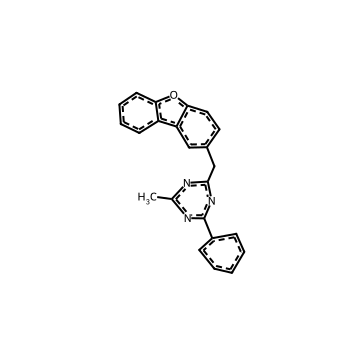 Cc1nc(Cc2ccc3oc4ccccc4c3c2)nc(-c2ccccc2)n1